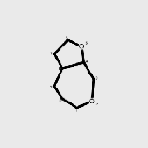 C1COCC2OCCC2C1